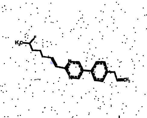 C=CCc1ccc(-c2cnc(/C=C/CCCC(C)F)nc2)cc1